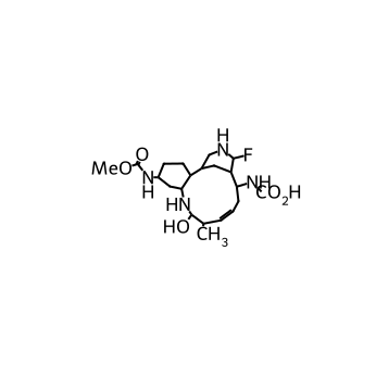 COC(=O)NC1CCC2C3CNC(F)C(C3)C(NC(=O)O)CC=CC(C)C(O)NC2C1